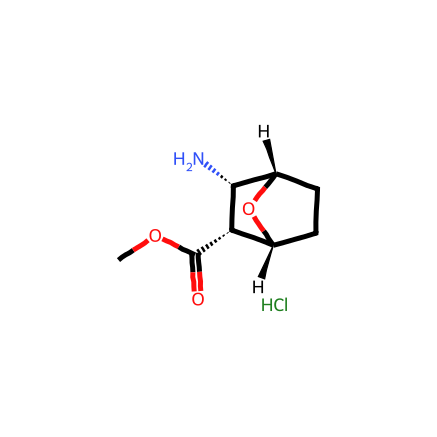 COC(=O)[C@@H]1[C@H](N)[C@@H]2CC[C@H]1O2.Cl